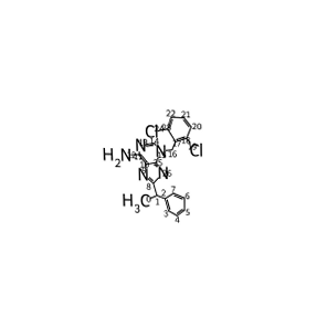 CC(c1ccccc1)c1nc2c(N)ncn(Cc3c(Cl)cccc3Cl)c-2n1